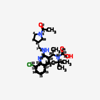 CC(=O)N1CC[C@@H](CNc2nc3c(Cl)cccc3cc2[C@H](C)N(C(=O)O)C(C)(C)C)C1